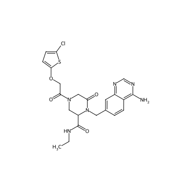 CCNC(=O)C1CN(C(=O)COc2ccc(Cl)s2)CC(=O)N1Cc1ccc2c(N)ncnc2c1